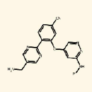 CC(C)Nc1cc(Oc2cc(C#N)ccc2-c2ncc(CN)cn2)cnn1